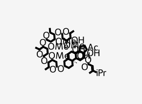 COC1CC(OC2C(C)OC(OC3C(C)OC(OC4C(C)OC(OC5CC[C@@]6(C)C(=CC[C@]7(O)C6C[C@@H](OC(=O)/C=C(\C)C(C)C)[C@@]6(C)[C@]7(O)CC[C@@]6(O)C(C)=O)C5)CC4OC)CC3OC)CC2OC)OC(C)C1O